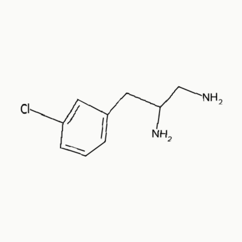 NCC(N)Cc1cccc(Cl)c1